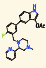 CC(=O)Oc1c[nH]c2ccc(-c3ccc(F)c(CN4CCN(C)CC4c4ccccn4)c3)cc12